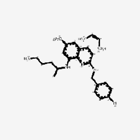 COc1cc(NC(C)CCCN)c2nc(OCc3ccc(Cl)cc3)ccc2c1.O=C(O)/C=C\C(=O)O